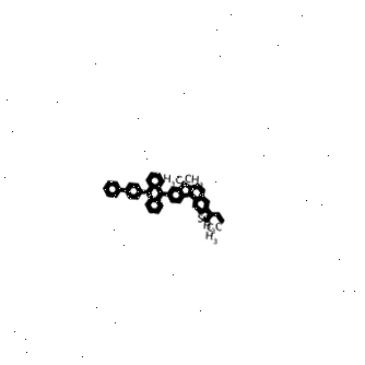 C/C=C\c1c(C)sc2cc3c4c(ccc3cc12)C(C)(C)c1cc(-c2c3ccccc3c(-c3ccc(-c5ccccc5)cc3)c3ccccc23)ccc1-4